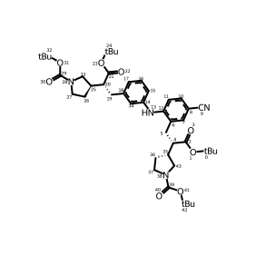 CC(C)(C)OC(=O)[C@@H](Cc1cc(C#N)ccc1Nc1cccc(C[C@@H](C(=O)OC(C)(C)C)[C@H]2CCN(C(=O)OC(C)(C)C)C2)c1)[C@H]1CCN(C(=O)OC(C)(C)C)C1